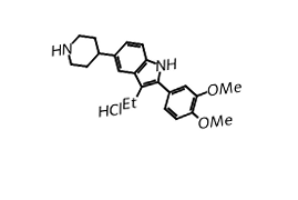 CCc1c(-c2ccc(OC)c(OC)c2)[nH]c2ccc(C3CCNCC3)cc12.Cl